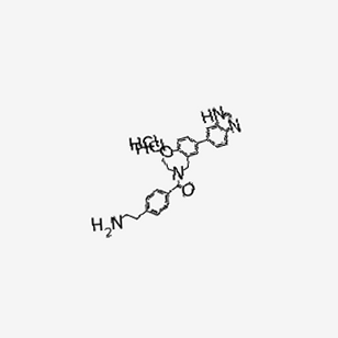 Cl.Cl.NCCc1ccc(C(=O)N2CCOc3ccc(-c4ccc5nc[nH]c5c4)cc3C2)cc1